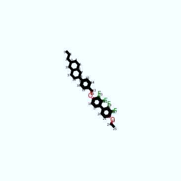 CCCC1CCC2CC(c3ccc(COc4ccc(-c5ccc(OCC)c(F)c5F)c(F)c4F)cc3)CCC2C1